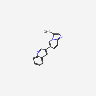 O=Cc1cnc2ccc(-c3cnc4ccccc4c3)cn12